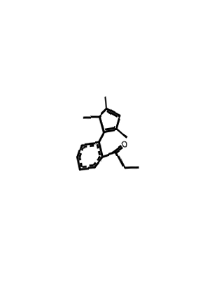 CCC(=O)c1ccccc1C1=C(C)C=C(C)C1C